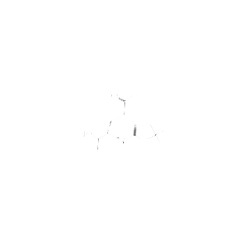 CC(O)C(CCC(=O)O)NC(=O)OC(C)(C)C